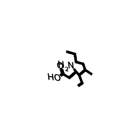 CCCCC(C)C(CC)C(N)CC(=O)O